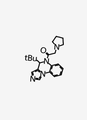 CC(C)(C)C1c2cncn2-c2ccccc2N1C(=O)CN1CCCC1